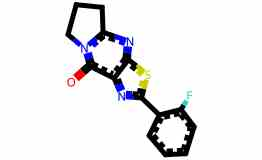 O=c1c2nc(-c3ccccc3F)sc2nc2n1CCC2